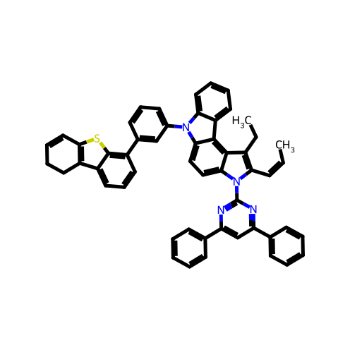 C/C=C\c1c(CC)c2c3c4ccccc4n(-c4cccc(-c5cccc6c7c(sc56)C=CCC7)c4)c3ccc2n1-c1nc(-c2ccccc2)cc(-c2ccccc2)n1